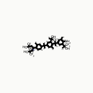 Cc1cc(C(C)(C)c2cc(C)c(C(C)(C)c3cc(C)c(N)c(C(C)(O)C(F)(F)F)c3)c(C(C)(O)C(F)(F)F)c2)ccc1/C(=C/C(O)(C(F)(F)F)C(F)(F)F)CC(O)(C(F)(F)F)C(F)(F)F